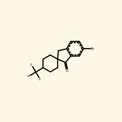 O=C1c2cc(Br)ccc2CC12CCC(C(F)(F)F)CC2